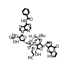 CC(C)(C)[Si](C)(C)O[C@@H]1[C@H](OP(=S)(OCCC#N)OC[C@@H]2C[C@@H](O[PH](=O)O)[C@H](n3cnc4c(NC(=O)c5ccccc5)ncnc43)O2)[C@@H](CO)O[C@H]1n1cnc2c(=O)n3cc[nH]c3nc21